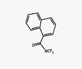 O=C(NC(F)(F)F)c1cccc2ccccc12